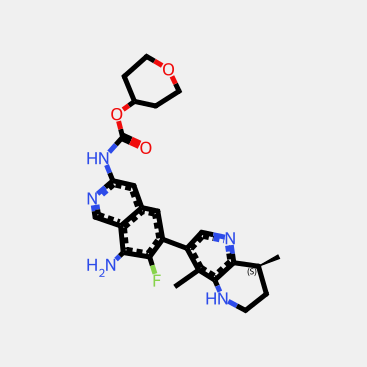 Cc1c(-c2cc3cc(NC(=O)OC4CCOCC4)ncc3c(N)c2F)cnc2c1NCC[C@@H]2C